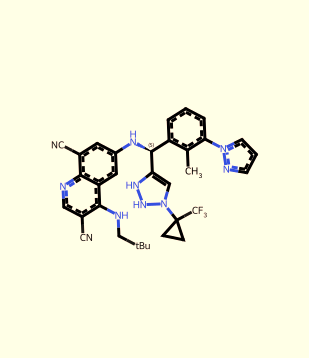 Cc1c([C@H](Nc2cc(C#N)c3ncc(C#N)c(NCC(C)(C)C)c3c2)C2=CN(C3(C(F)(F)F)CC3)NN2)cccc1-n1cccn1